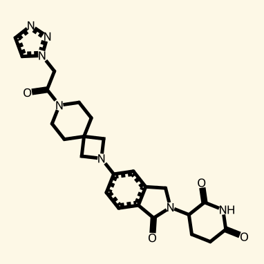 O=C1CCC(N2Cc3cc(N4CC5(CCN(C(=O)Cn6ccnn6)CC5)C4)ccc3C2=O)C(=O)N1